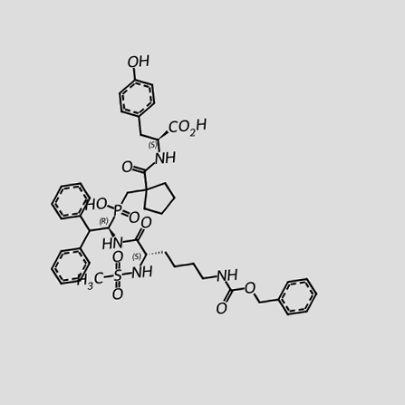 CS(=O)(=O)N[C@@H](CCCCNC(=O)OCc1ccccc1)C(=O)N[C@@H](C(c1ccccc1)c1ccccc1)P(=O)(O)CC1(C(=O)N[C@@H](Cc2ccc(O)cc2)C(=O)O)CCCC1